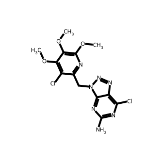 COc1nc(Cn2nnc3c(Cl)nc(N)nc32)c(Cl)c(OC)c1OC